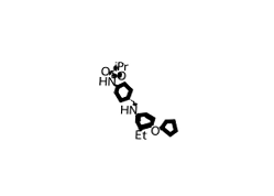 CCc1cc(NC[C@H]2CC[C@H](NS(=O)(=O)C(C)C)CC2)ccc1OC1CCCC1